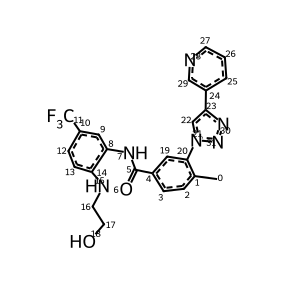 Cc1ccc(C(=O)Nc2cc(C(F)(F)F)ccc2NCCO)cc1-n1cc(-c2cccnc2)nn1